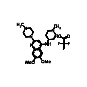 COc1cc2nc(N3CCN(C)CC3)cc(NC3CCN(C)CC3)c2cc1OC.O=C(O)C(F)(F)F